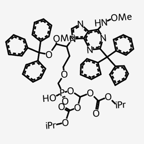 CONc1nc(C(c2ccccc2)(c2ccccc2)c2ccccc2)nc2c1ncn2C(CCOCP(=O)(O)OC(OC(=O)OC(C)C)OC(=O)OC(C)C)C(OC)OC(c1ccccc1)(c1ccccc1)c1ccccc1